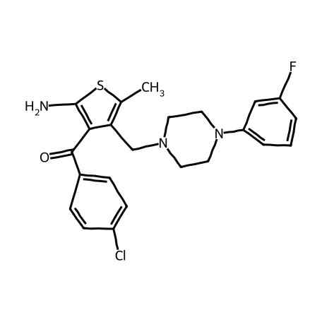 Cc1sc(N)c(C(=O)c2ccc(Cl)cc2)c1CN1CCN(c2cccc(F)c2)CC1